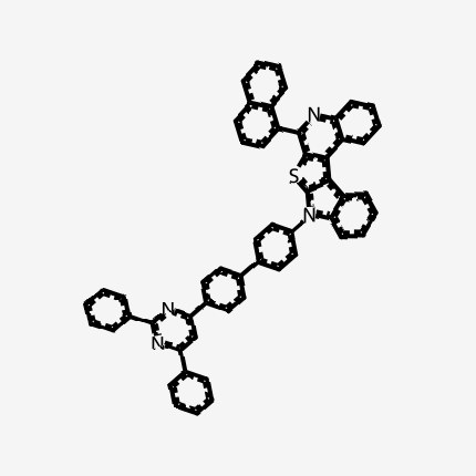 c1ccc(-c2cc(-c3ccc(-c4ccc(-n5c6ccccc6c6c7c(sc65)c(-c5cccc6ccccc56)nc5ccccc57)cc4)cc3)nc(-c3ccccc3)n2)cc1